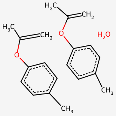 C=C(C)Oc1ccc(C)cc1.C=C(C)Oc1ccc(C)cc1.O